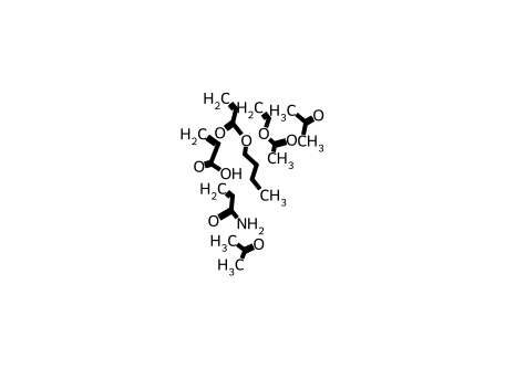 C=CC(=O)O.C=CC(=O)OCCCC.C=CC(N)=O.C=COC(C)=O.CC(C)=O.CC(C)=O